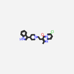 Cc1nc2ccc(Cl)cn2c(=O)c1CCN1CCC(c2c[nH]c3ccccc23)CC1